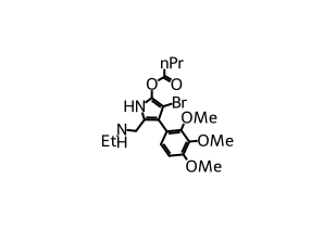 CCCC(=O)Oc1[nH]c(CNCC)c(-c2ccc(OC)c(OC)c2OC)c1Br